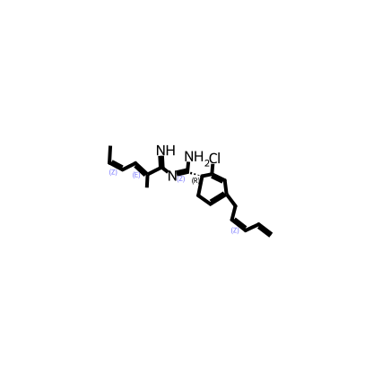 C=C/C=C\CC1=CC[C@H](/C(N)=N/C(=N)/C(C)=C/C=C\C)C(Cl)=C1